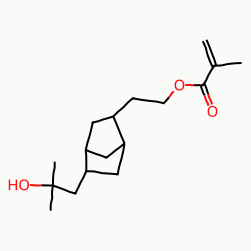 C=C(C)C(=O)OCCC1CC2CC1CC2CC(C)(C)O